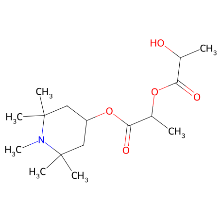 CC(O)C(=O)OC(C)C(=O)OC1CC(C)(C)N(C)C(C)(C)C1